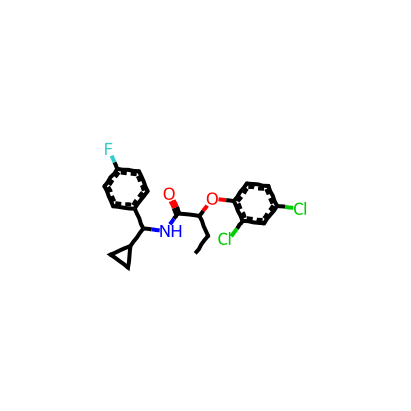 CCC(Oc1ccc(Cl)cc1Cl)C(=O)NC(c1ccc(F)cc1)C1CC1